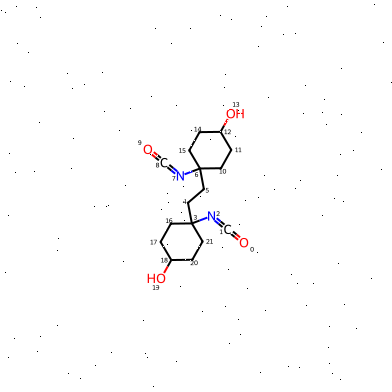 O=C=NC1(CCC2(N=C=O)CCC(O)CC2)CCC(O)CC1